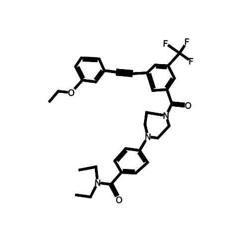 CCOc1cccc(C#Cc2cc(C(=O)N3CCN(c4ccc(C(=O)N(CC)CC)cc4)CC3)cc(C(F)(F)F)c2)c1